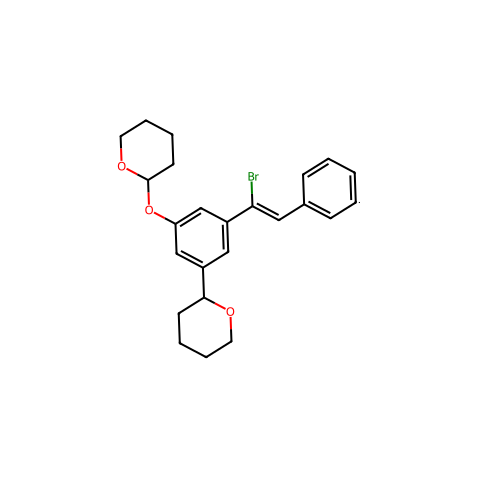 BrC(=Cc1c[c]ccc1)c1cc(OC2CCCCO2)cc(C2CCCCO2)c1